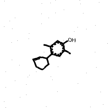 Cc1cc(C2C=CCCC2)c(C)cc1O